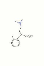 CCOC(=O)C(CCN(C)C)c1ccccc1C